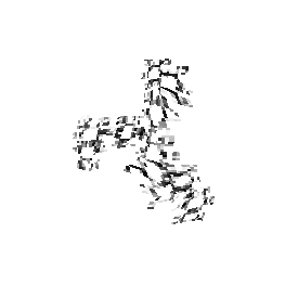 C/C=C\C=C(/C)c1cc(N(c2ccc(-c3cccc4ccccc34)cc2)c2ccc(-c3cccc4ccccc34)cc2)ccc1-c1ccc(-c2ccccc2)cc1